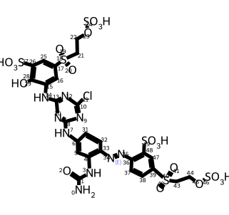 NC(=O)Nc1cc(Nc2nc(Cl)nc(Nc3cc(S(=O)(=O)CCOS(=O)(=O)O)cc(S(=O)(=O)O)c3O)n2)ccc1/N=N/c1ccc(S(=O)(=O)CCOS(=O)(=O)O)cc1S(=O)(=O)O